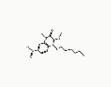 CCCCCCOc1c(OC)c(=O)n(C)c2cc([N+](=O)[O-])ccc12